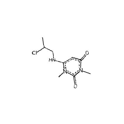 CC(Cl)CNc1cc(=O)n(C)c(=O)n1C